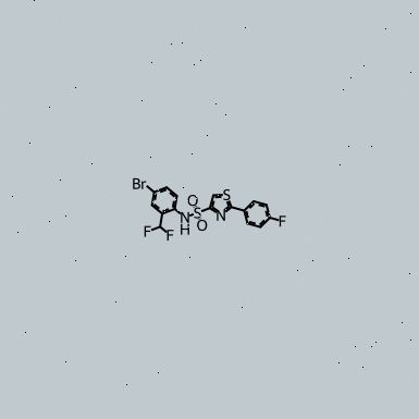 O=S(=O)(Nc1ccc(Br)cc1C(F)F)c1csc(-c2ccc(F)cc2)n1